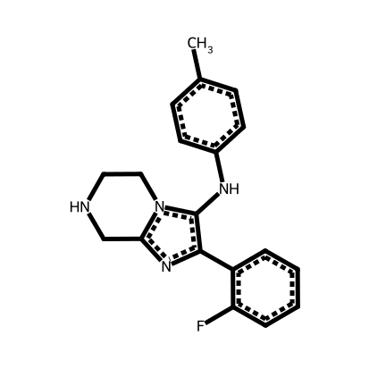 Cc1ccc(Nc2c(-c3ccccc3F)nc3n2CCNC3)cc1